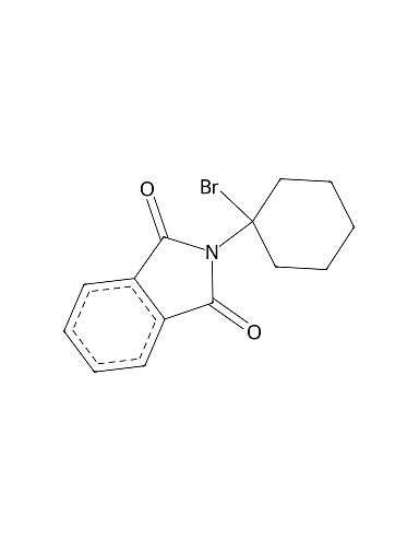 O=C1c2ccccc2C(=O)N1C1(Br)CCCCC1